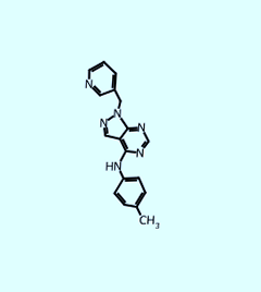 Cc1ccc(Nc2ncnc3c2cnn3Cc2cccnc2)cc1